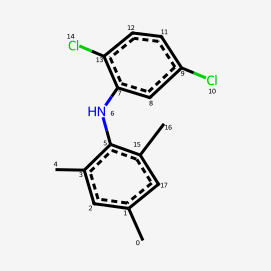 Cc1cc(C)c(Nc2cc(Cl)ccc2Cl)c(C)c1